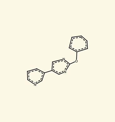 c1ccc(Oc2ncc(-c3cccnc3)cn2)cc1